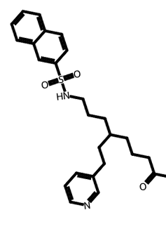 O=C(O)CCCC(CCCNS(=O)(=O)c1ccc2ccccc2c1)CCc1cccnc1